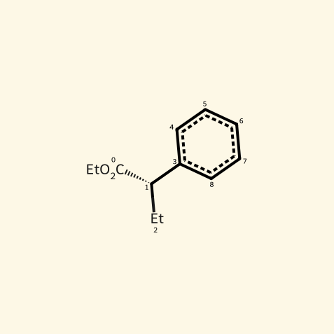 CCOC(=O)[C@@H](CC)c1ccccc1